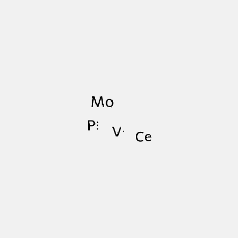 [Ce].[Mo].[P].[V]